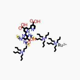 CCCC[N+](CCCC)(CCCC)CCCC.CCCC[N+](CCCC)(CCCC)CCCC.CCCC[N+](CCCC)(CCCC)CCCC.O=C(O)c1ccnc(-c2cc(C(=O)O)cc(-c3nc(N=C=S)c(N=C=S)c(C(=O)O)c3N=C=S)n2)c1.[Ru+2]